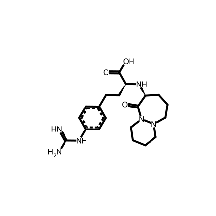 N=C(N)Nc1ccc(CC[C@H](N[C@H]2CCCN3CCCCN3C2=O)C(=O)O)cc1